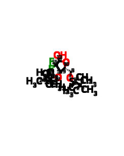 CC(C)(C)[Si](C)(C)OC[C@H]1OC(O)C(F)(F)[C@@H]1O[Si](C)(C)C(C)(C)C